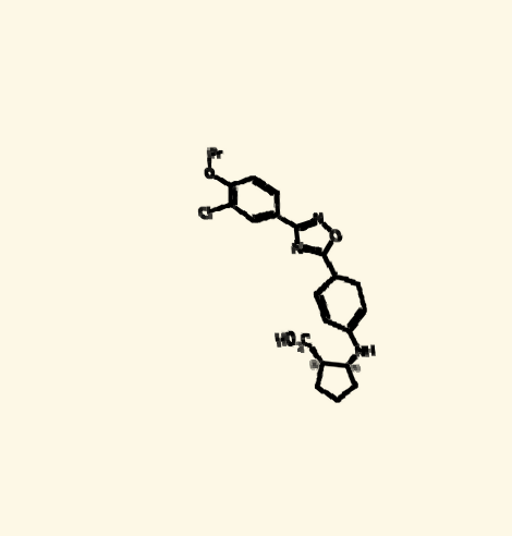 CC(C)Oc1ccc(-c2noc(C3C=CC(N[C@H]4CCC[C@H]4C(=O)O)=CC3)n2)cc1Cl